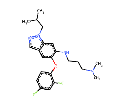 CC(C)Cn1ncc2cc(Oc3ccc(F)cc3F)c(NCCCN(C)C)cc21